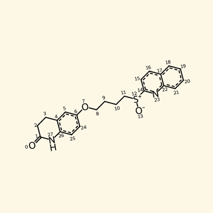 O=C1CCc2cc(OCCCC[S+]([O-])c3ccc4ccccc4n3)ccc2N1